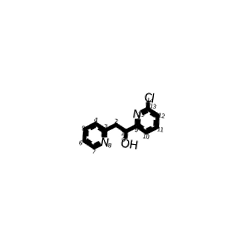 OC(Cc1ccccn1)c1cccc(Cl)n1